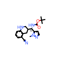 Cn1nccc1[C@@H](NC(=O)OC(C)(C)C)C1CNc2cccc(C#N)c2C1